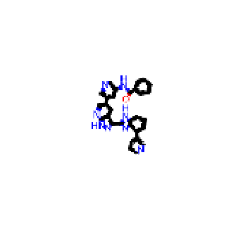 O=C(Nc1cncc(-c2cnc3[nH]nc(-c4nc5c(-c6cccnc6)cccc5[nH]4)c3c2)c1)c1ccccc1